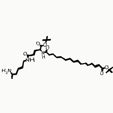 CC(N)CCCCNC(=O)CCC(NC(=O)CCCCCCCCCCCCCCC(=O)OC(C)(C)C)C(=O)OC(C)(C)C